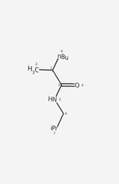 CCCC[C](C)C(=O)NCC(C)C